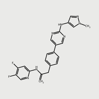 C=C(Cc1ccc(-c2cnc(Nc3cnn(C)c3)nc2)cc1)Nc1cc(F)c(F)cn1